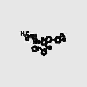 CC(=O)NCCNc1cc(C(=O)N2CCC[C@H]2CN2CCCC2)c2cc(-c3ccc4c(c3)OCO4)ccc2n1